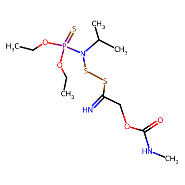 CCOP(=S)(OCC)N(SSC(=N)COC(=O)NC)C(C)C